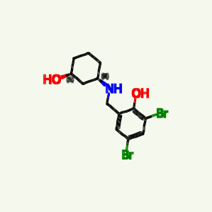 Oc1c(Br)cc(Br)cc1CN[C@@H]1CCC[C@H](O)C1